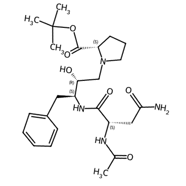 CC(=O)N[C@@H](CC(N)=O)C(=O)N[C@@H](Cc1ccccc1)[C@H](O)CN1CCC[C@H]1C(=O)OC(C)(C)C